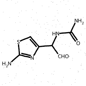 NC(=O)NC([C]=O)c1csc(N)n1